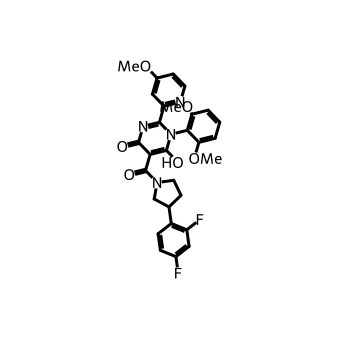 COc1ccnc(-c2nc(=O)c(C(=O)N3CCC(c4ccc(F)cc4F)C3)c(O)n2-c2c(OC)cccc2OC)c1